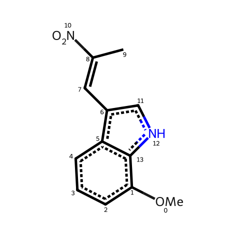 COc1cccc2c(/C=C(\C)[N+](=O)[O-])c[nH]c12